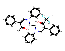 CC(=O)/C(=C\N(CCN(CC(C(=O)C(F)(F)F)c1ccccc1)c1ccccc1)c1ccccc1)c1ccccc1